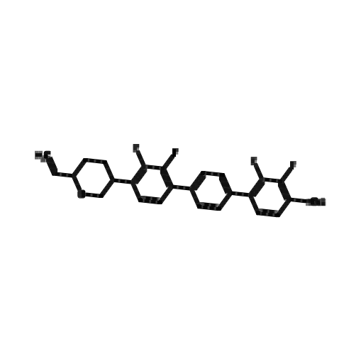 C=CC1CCC(c2ccc(-c3ccc(-c4ccc(CCCCCCCC)c(F)c4F)cc3)c(F)c2F)CO1